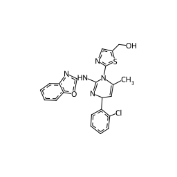 CC1=CC(c2ccccc2Cl)N=C(Nc2nc3ccccc3o2)N1c1ncc(CO)s1